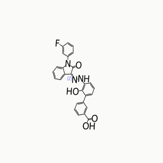 O=C(O)c1cccc(-c2cccc(N/N=C3\C(=O)N(c4cccc(F)c4)c4ccccc43)c2O)c1